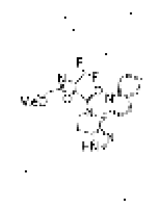 COCc1nc(C(F)F)c(C(=O)N2CCc3[nH]cnc3[C@H]2c2ccc3ccccc3n2)o1